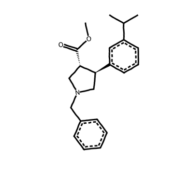 COC(=O)[C@H]1CN(Cc2ccccc2)C[C@@H]1c1cccc(C(C)C)c1